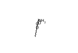 CCCCCCCCOCCOC(=O)C=C(C)N